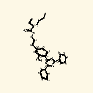 CCCC[C@@H](CC)C(=O)OCCCc1ccc(-c2nc(-c3ccccc3)nc(-c3ccccc3)n2)c(O)c1